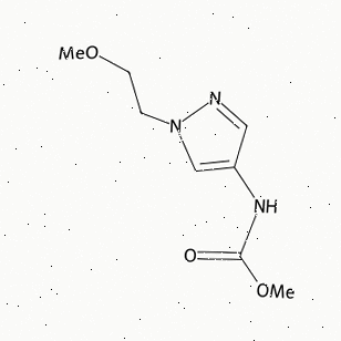 COCCn1cc(NC(=O)OC)cn1